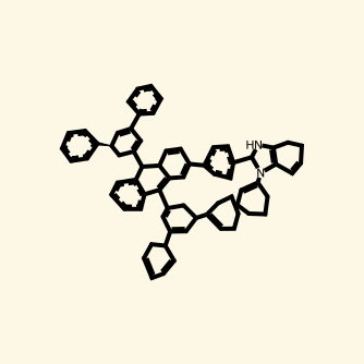 C1=CCC(C2=CC(C3=CCCCC3)CC(C3=C4C=C(c5ccc(C6NC7=C(C=CCC7)N6C6=CCCCC6)cc5)C=CC4C(C4=CC(c5ccccc5)=C[C@H](c5ccccc5)C4)c4ccccc43)=C2)C=C1